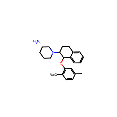 COc1ccc(C)cc1OC1c2ccccc2CCC1N1CCC[C@H](N)C1